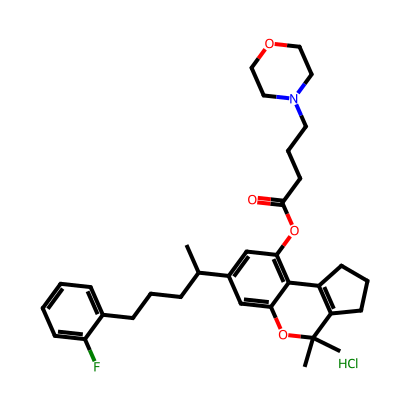 CC(CCCc1ccccc1F)c1cc(OC(=O)CCCN2CCOCC2)c2c(c1)OC(C)(C)C1=C2CCC1.Cl